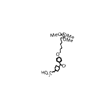 CO[Si](CCCCCCOc1ccc(C(=O)c2ccc(C=CC(=O)O)cc2)cc1)(OC)OC